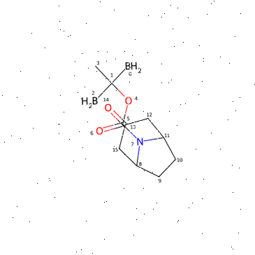 BC(B)(C)OC(=O)N1C2CCC1CC(=O)C2